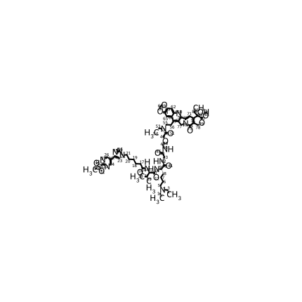 CCN(CC)CCCC[C@H](NC(=O)[C@@H](NC(=O)CCCCCn1cc(-c2cnc(S(C)(=O)=O)nc2)nn1)C(C)C)C(=O)NCC(=O)NCOCC(=O)N(CC)CCc1c2c(nc3cc4c(cc13)OCO4)-c1cc3c(c(=O)n1C2)COC(=O)[C@]3(O)CC